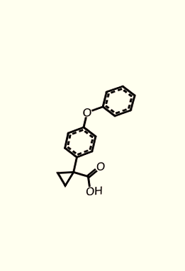 O=C(O)C1(c2ccc(Oc3ccccc3)cc2)CC1